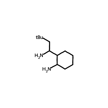 CC(C)(C)CC(N)C1CCCCC1N